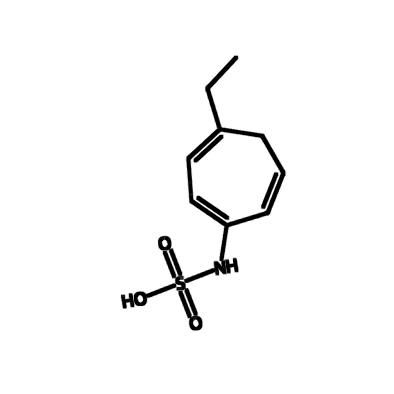 CCC1=CC=C(NS(=O)(=O)O)C=CC1